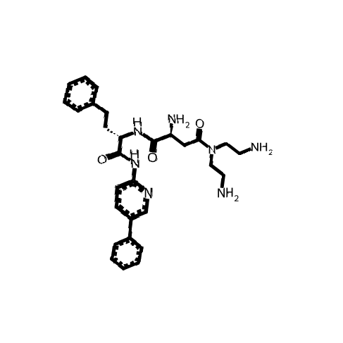 NCCN(CCN)C(=O)C[C@H](N)C(=O)N[C@@H](CCc1ccccc1)C(=O)Nc1ccc(-c2ccccc2)cn1